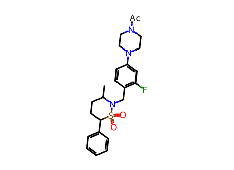 CC(=O)N1CCN(c2ccc(CN3C(C)CCC(c4ccccc4)S3(=O)=O)c(F)c2)CC1